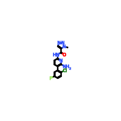 Cn1nncc1C(=O)Nc1ccc(-c2cc(F)ccc2Cl)c(N)n1